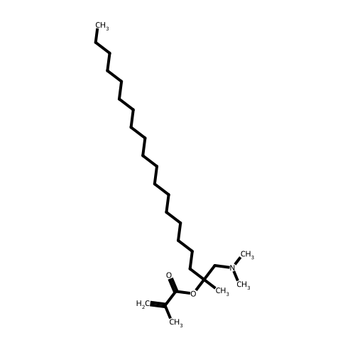 C=C(C)C(=O)OC(C)(CCCCCCCCCCCCCCCCCC)CN(C)C